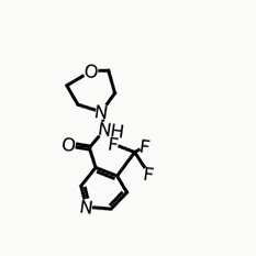 O=C(NN1CCOCC1)c1cnccc1C(F)(F)F